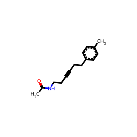 CC(=O)NCCC#CCCc1ccc(C)cc1